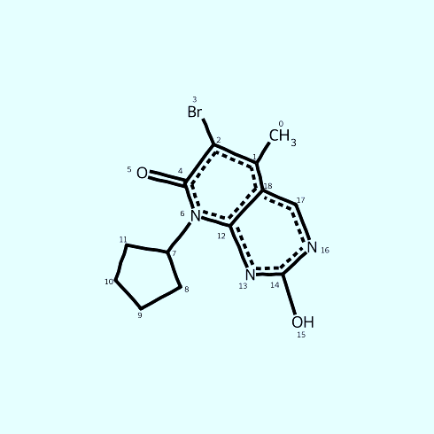 Cc1c(Br)c(=O)n(C2CCCC2)c2nc(O)ncc12